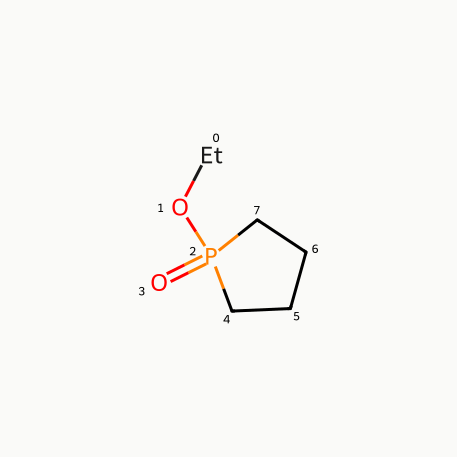 CCOP1(=O)CCCC1